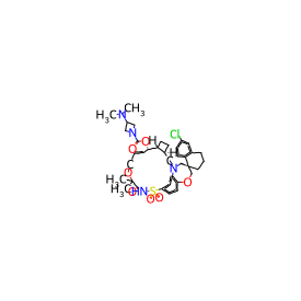 CN(C)C1CN(C(=O)O[C@H]2/C=C/COC(C)(C)C(=O)NS(=O)(=O)c3ccc4c(c3)N(C[C@@H]3CC[C@H]32)C[C@@]2(CCCc3cc(Cl)ccc32)CO4)C1